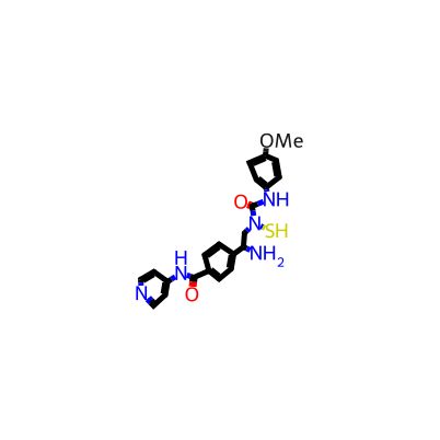 COc1ccc(NC(=O)N(S)CC(N)c2ccc(C(=O)Nc3ccncc3)cc2)cc1